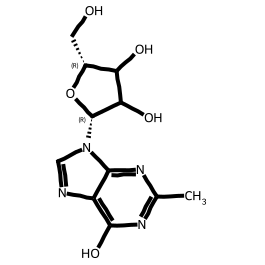 Cc1nc(O)c2ncn([C@@H]3O[C@H](CO)C(O)C3O)c2n1